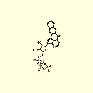 O=P(O)(O)OP(=O)(O)OP(=O)(O)OCC1OC(n2cc3c4c(ncnc42)Nc2cc4ccccc4cc2-3)C(O)C1O